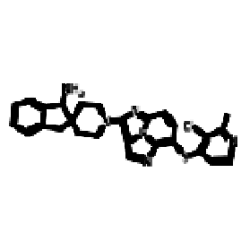 Cc1nccc(Sc2ccc3nc(N4CCC5(CC4)Cc4ccccc4C5N)c4cnc2n34)c1Cl